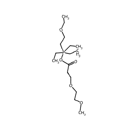 CCOCCP(CC)(CC)(CC)OC(=O)CCOCCOC